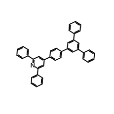 c1ccc(-c2cc(-c3ccccc3)cc(-c3ccc(-c4cc(-c5ccccc5)nc(-c5ccccc5)c4)cc3)c2)cc1